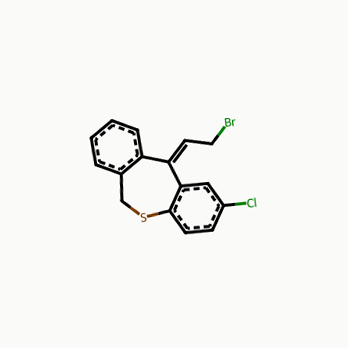 Clc1ccc2c(c1)C(=CCBr)c1ccccc1CS2